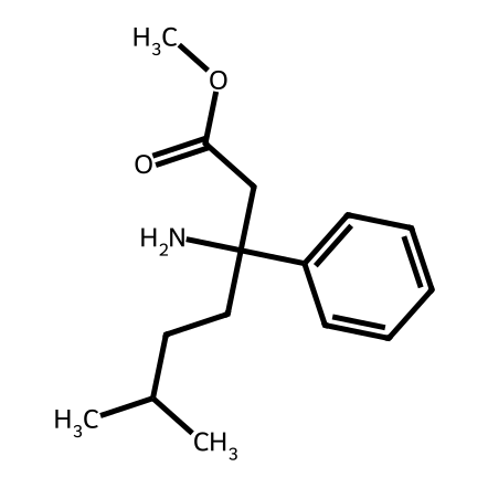 COC(=O)CC(N)(CCC(C)C)c1ccccc1